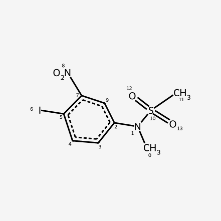 CN(c1ccc(I)c([N+](=O)[O-])c1)S(C)(=O)=O